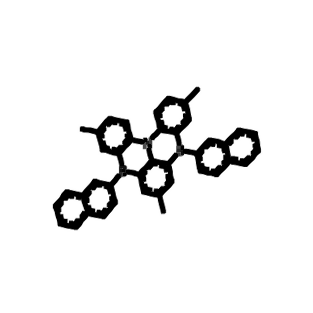 Cc1ccc2c(c1)B(c1ccc3ccccc3c1)c1cc(C)cc3c1N2c1ccc(C)cc1B3c1ccc2ccccc2c1